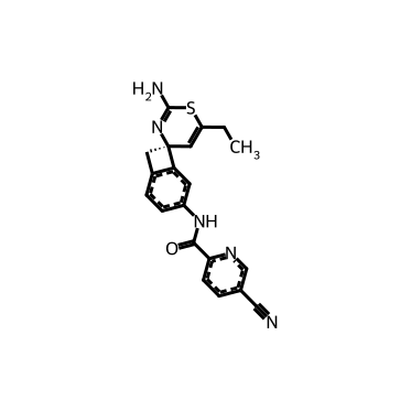 CCC1=C[C@]2(Cc3ccc(NC(=O)c4ccc(C#N)cn4)cc32)N=C(N)S1